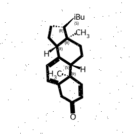 CC[C@H](C)[C@H]1CC[C@H]2C3=CC=C4CC(=O)C=C[C@]4(C)[C@H]3CC[C@]12C